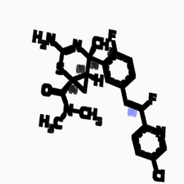 CN(C)C(=O)[C@]12C[C@H]1[C@@](C)(c1cc(/C=C(\F)c3ccc(Cl)cn3)ccc1F)N=C(N)S2